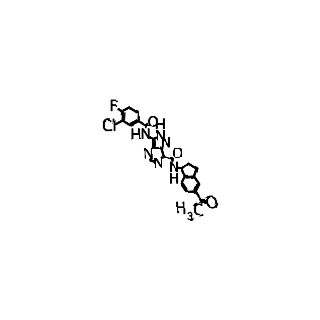 CC(=O)c1ccc2c(c1)CC[C@@H]2NC(=O)c1ncnc2c(NC(=O)c3ccc(F)c(Cl)c3)[nH]nc12